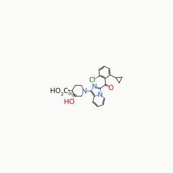 O=C(c1c(Cl)cccc1C1CC1)c1nc(N2CC[C@H](C(=O)O)[C@@H](O)C2)c2ccccn12